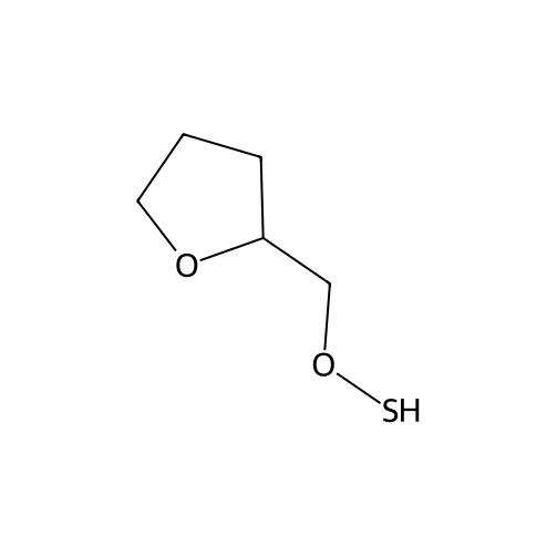 SOCC1CCCO1